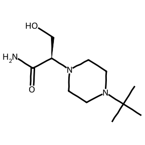 CC(C)(C)N1CCN([C@H](CO)C(N)=O)CC1